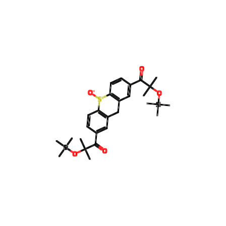 CC(C)(O[Si](C)(C)C)C(=O)c1ccc2c(c1)Cc1cc(C(=O)C(C)(C)O[Si](C)(C)C)ccc1[S+]2[O-]